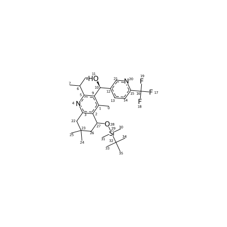 Cc1c2c(nc(C(C)C)c1[C@@H](O)c1ccc(C(F)(F)F)nc1)CC(C)(C)CC2O[Si](C)(C)C(C)(C)C